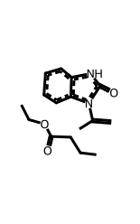 C=C(C)n1c(=O)[nH]c2ccccc21.CCCC(=O)OCC